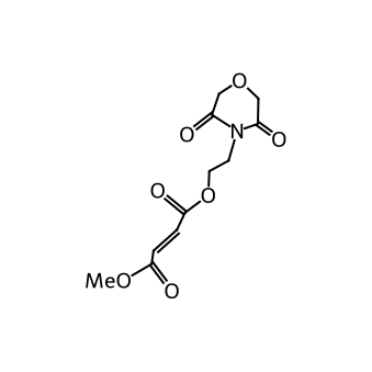 COC(=O)C=CC(=O)OCCN1C(=O)COCC1=O